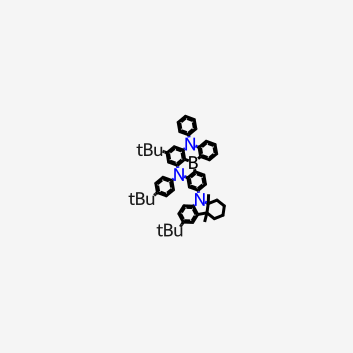 CC(C)(C)c1ccc(N2c3cc(N4c5ccc(C(C)(C)C)cc5C5(C)CCCCC45C)ccc3B3c4ccccc4N(c4ccccc4)c4cc(C(C)(C)C)cc2c43)cc1